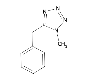 Cn1nnnc1Cc1ccccc1